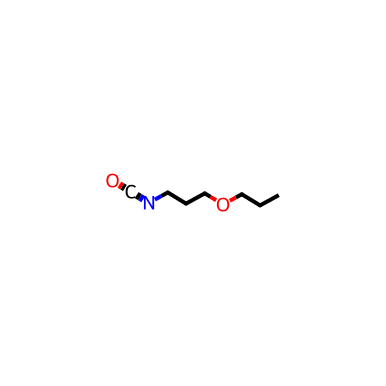 CCCOCCCN=C=O